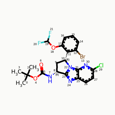 CC(C)(C)OC(=O)N[C@@H]1C[C@H](c2c(Br)cccc2OC(F)F)n2c1nc1ccc(Cl)nc12